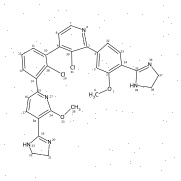 COc1cc(-c2nccc(-c3cccc(-c4ccc(C5=NCCN5)c(OC)n4)c3Cl)c2Cl)ccc1C1=NCCN1